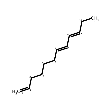 C=CCCCC/C=C/C=C/CC